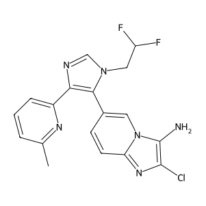 Cc1cccc(-c2ncn(CC(F)F)c2-c2ccc3nc(Cl)c(N)n3c2)n1